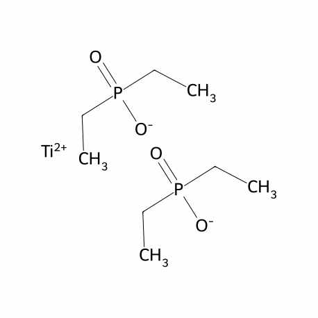 CCP(=O)([O-])CC.CCP(=O)([O-])CC.[Ti+2]